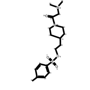 Cc1ccc(S(=O)(=O)OCCC2CCN(C(=O)CN(C)C)CC2)cc1